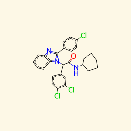 O=C(NC1CCCCC1)C(c1ccc(Cl)c(Cl)c1)n1c(-c2ccc(Cl)cc2)nc2ccccc21